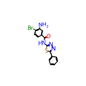 Nc1cc(C(=O)Nc2nnc(-c3ccccc3)s2)ccc1Br